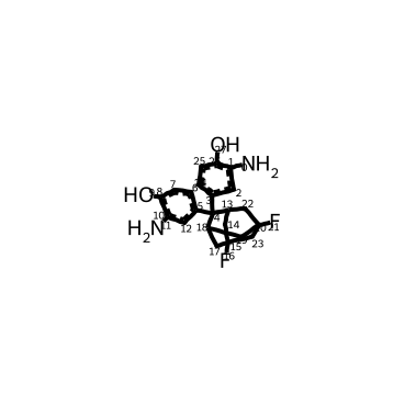 Nc1cc(C2(c3ccc(O)c(N)c3)C3CC4(F)CC2CC(F)(C3)C4)ccc1O